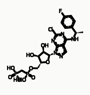 C[C@H](Nc1nc(Cl)nc2c1cnn2[C@@H]1O[C@H](COP(=O)(O)CP(=O)(O)O)[C@@H](O)[C@H]1O)c1ccc(F)cc1